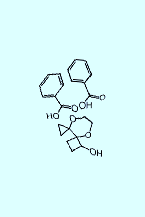 O=C(O)c1ccccc1.O=C(O)c1ccccc1.OC1CCC12OCCOC21CC1